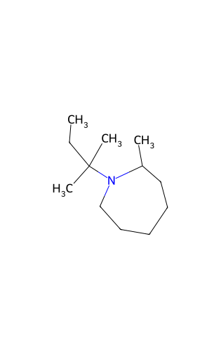 CCC(C)(C)N1CCCCCC1C